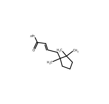 CCCC(=O)C=CCC1(C)CCCC1(C)C